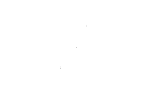 CCc1cnc(N2CCC(COc3c(F)cc(NC(=O)c4ccccn4)cc3F)CC2)nc1